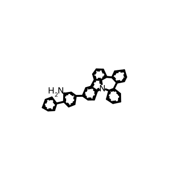 Nc1cc(-c2ccc3c(c2)c2cccc4c2n3-c2ccccc2-c2ccccc2-4)ccc1-c1ccccc1